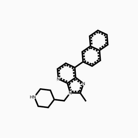 Cc1nc2c(-c3ccc4ccccc4c3)ccnc2n1CC1CCNCC1